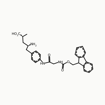 C[C@@H](C[C@@H](N)Cc1ccc(NC(=O)CNC(=O)OCC2c3ccccc3-c3ccccc32)cc1)C(=O)O